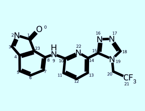 O=C1N=Cc2cccc(Nc3cccc(-c4nncn4CC(F)(F)F)n3)c21